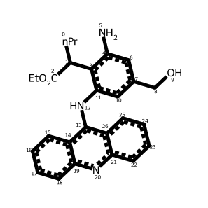 CCCC(C(=O)OCC)c1c(N)cc(CO)cc1Nc1c2ccccc2nc2ccccc12